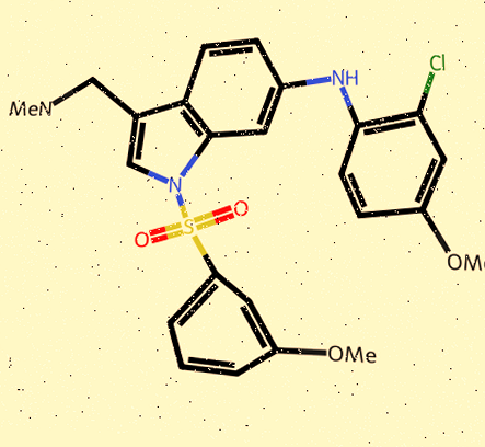 CNCc1cn(S(=O)(=O)c2cccc(OC)c2)c2cc(Nc3ccc(OC)cc3Cl)ccc12